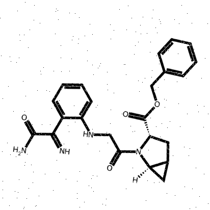 N=C(C(N)=O)c1ccccc1NCC(=O)N1[C@@H]2CC2C[C@H]1C(=O)OCc1ccccc1